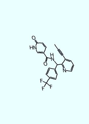 CC#Cc1cccnc1C(NC(=O)c1ccc(=O)[nH]c1)c1ccc(C(F)(F)F)cc1